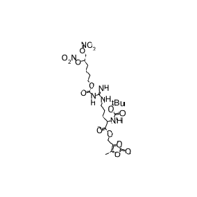 Cc1oc(=O)oc1COC(=O)C(CCCNC(=N)NC(=O)OCCCCC(CO[N+](=O)[O-])O[N+](=O)[O-])NC(=O)OC(C)(C)C